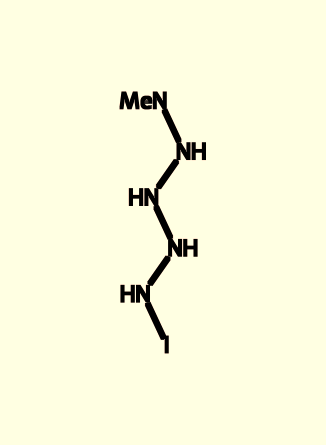 CNNNNNI